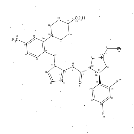 CC(C)CN1C[C@@H](C(=O)Nc2nccn2Cc2ccc(C(F)(F)F)cc2N2CCC(C(=O)O)CC2)[C@H](c2ccc(F)cc2F)C1